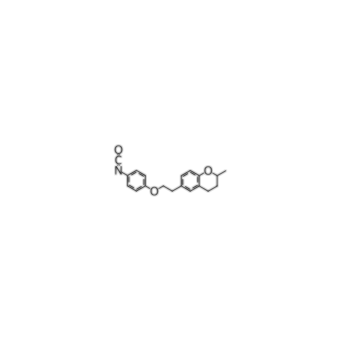 CC1CCc2cc(CCOc3ccc(N=C=O)cc3)ccc2O1